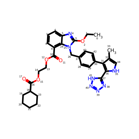 CCOc1nc2cccc(C(=O)OCCOC(=O)C3CCCCC3)c2n1Cc1ccc(-c2c(C)c[nH]c2-c2nnn[nH]2)cc1